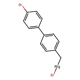 [Br][Mg][CH2]c1ccc(-c2ccc(Br)cc2)cc1